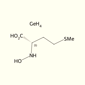 CSCC[C@H](NO)C(=O)O.[GeH4]